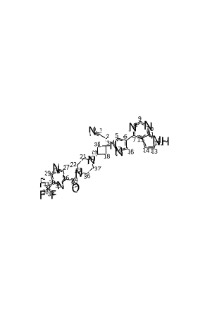 N#CC[C@]1(n2cc(-c3ncnc4[nH]ccc34)cn2)C[C@H](N2CCN(C(=O)c3cncc(C(F)(F)F)n3)CC2)C1